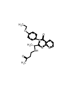 CCOc1ccc(-n2c([C@@H](C)NCCC(C)=O)nc3ncccc3c2=O)cc1